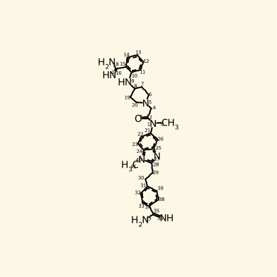 CN(C(=O)CN1CCC(Nc2ccccc2C(=N)N)CC1)c1ccc2c(c1)nc(CCc1ccc(C(=N)N)cc1)n2C